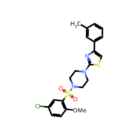 COc1ccc(Cl)cc1S(=O)(=O)N1CCN(c2nc(-c3cccc(C)c3)cs2)CC1